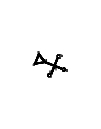 [O]C(Cl)(Cl)C1CC1